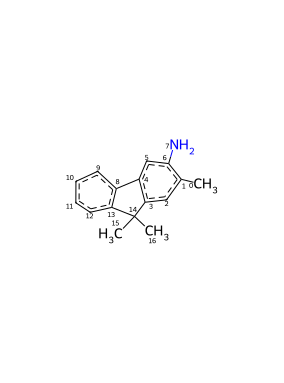 Cc1cc2c(cc1N)-c1ccccc1C2(C)C